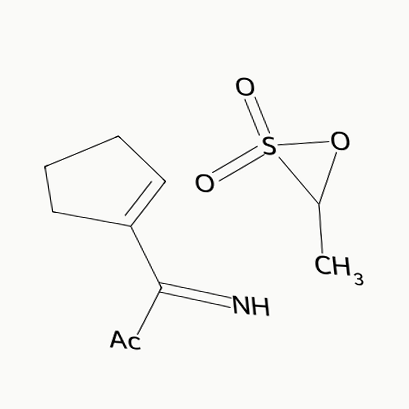 CC(=O)C(=N)C1=CCCC1.CC1OS1(=O)=O